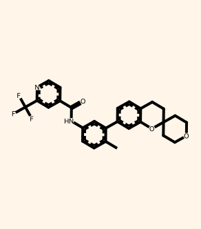 Cc1ccc(NC(=O)c2ccnc(C(F)(F)F)c2)cc1-c1ccc2c(c1)OC1(CCOCC1)CC2